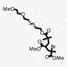 COCCOCCSSCCOC(=O)C(C)(C)CC(CC(C)(Br)C(=O)OC)C(=O)OC